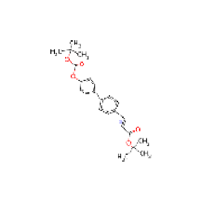 CC(C)(C)OC(=O)/C=C/c1ccc(-c2ccc(OC(=O)OC(C)(C)C)cc2)cc1